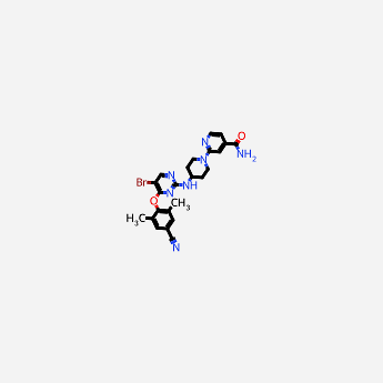 Cc1cc(C#N)cc(C)c1Oc1nc(NC2CCN(c3cc(C(N)=O)ccn3)CC2)ncc1Br